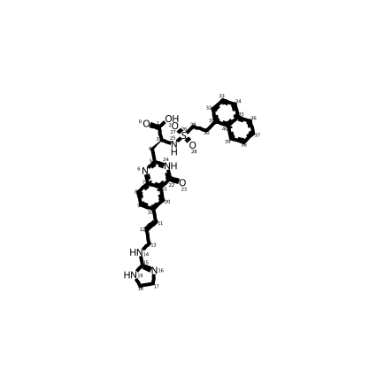 O=C(O)[C@H](Cc1nc2ccc(C=CCNC3=NCCN3)cc2c(=O)[nH]1)NS(=O)(=O)CCc1cccc2ccccc12